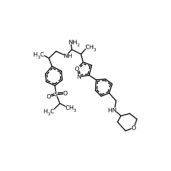 CC(CNC(N)C(C)c1cc(-c2ccc(CNC3CCOCC3)cc2)no1)c1ccc(S(=O)(=O)C(C)C)cc1